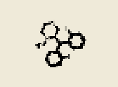 CC[CH]N1CCNCC1C(c1ccccc1F)c1ccccc1F